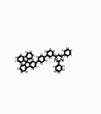 c1ccc(-c2cc(-c3cccc(-c4ccc(-c5ccc6c(c5)C(c5ccccc5)(c5ccccc5)c5ccccc5-6)cc4)c3)nc(-c3ccccc3)n2)cc1